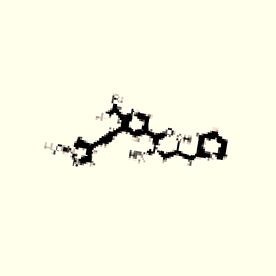 CN(C[C@@H](O)Cc1ccccc1)C(=O)c1cnc(C(F)F)c(C#Cc2cnn(C)c2)c1